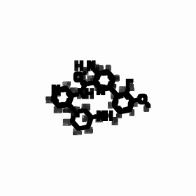 COc1cccc(-c2ccc(N)c(C(=O)Nc3cnccc3N3CCC[C@H](N)C3)n2)c1F